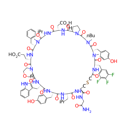 CCCC[C@H]1C(=O)N2CCC[C@@H]2C(=O)N[C@@H](CC(=O)O)C(=O)N[C@@H](C(C)C)C(=O)N(C)[C@@H](Cc2ccccc2)C(=O)N[C@@H](CCC(=O)O)C(=O)N2CCOC[C@@H]2C(=O)N[C@@H](Cc2c[nH]c3ccccc23)C(=O)N[C@@H](Cc2ccc(O)cc2)C(=O)N[C@@H](CC(C)C)C(=O)N[C@H](C(=O)NCC(N)=O)CSCC(=O)N[C@@H](Cc2cc(F)c(F)c(F)c2)C(=O)N(C)[C@@H](Cc2ccc(O)cc2)C(=O)N1C